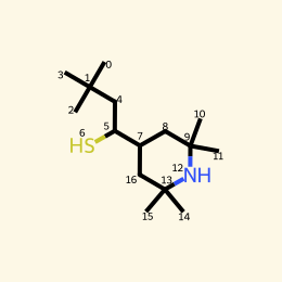 CC(C)(C)CC(S)C1CC(C)(C)NC(C)(C)C1